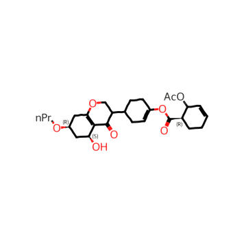 CCCO[C@H]1CC2=C(C(=O)C(C3CC=C(OC(=O)[C@@H]4CCC=CC4OC(C)=O)CC3)CO2)[C@@H](O)C1